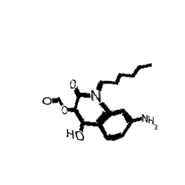 CCCCCCn1c(=O)c(OC=O)c(O)c2ccc(N)cc21